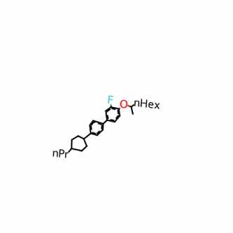 CCCCCCC(C)Oc1ccc(-c2ccc(C3CCC(CCC)CC3)cc2)cc1F